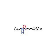 COCCCCCC(=O)NCCC(C)=O